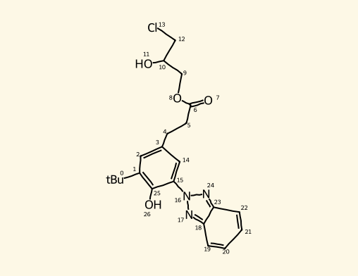 CC(C)(C)c1cc(CCC(=O)OCC(O)CCl)cc(-n2nc3ccccc3n2)c1O